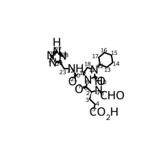 O=CN[C@@H](CCC(=O)O)C(=O)N1C(=O)N(C2CCCCC2)C[C@H]1C(=O)NCc1nn[nH]n1